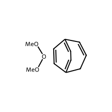 C1=Cc2ccc(cc2)C1.COOOC